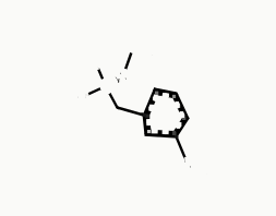 C[SH](O)(Cc1cccc([N+](=O)[O-])c1)=NC(=O)O